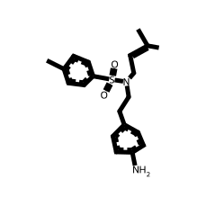 CC(C)=CCN(CCc1ccc(N)cc1)S(=O)(=O)c1ccc(C)cc1